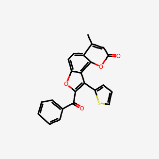 Cc1cc(=O)oc2c1ccc1oc(C(=O)c3ccccc3)c(-c3cccs3)c12